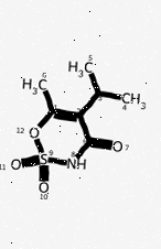 CC1=C(C(C)C)C(=O)NS(=O)(=O)O1